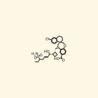 CCC(C/C=C/C(O)[C@@H]1CC[C@H]1CN1C[C@@]2(CCCc3cc(Cl)ccc32)COc2ccc(C(=O)O)cc21)S(N)(=O)=O